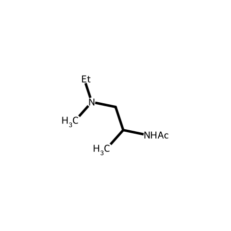 CCN(C)CC(C)NC(C)=O